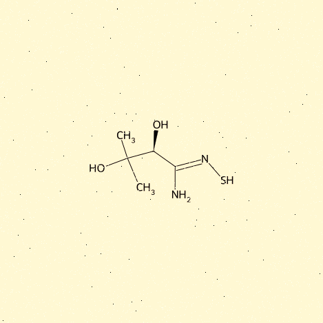 CC(C)(O)[C@@H](O)/C(N)=N/S